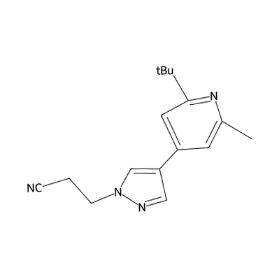 Cc1cc(-c2cnn(CCC#N)c2)cc(C(C)(C)C)n1